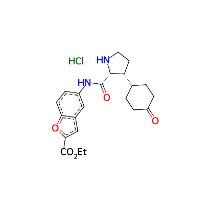 CCOC(=O)c1cc2cc(NC(=O)[C@@H]3NCC[C@@H]3C3CCC(=O)CC3)ccc2o1.Cl